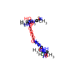 COc1cc(N2CCC(N3CCN(C(=O)CCOCCOCCOCCOCCC(=O)NC(C(=O)N4C[C@H](O)C[C@H]4C(=O)NCc4ccc(-c5scnc5C)cc4)C(C)(C)C)CC3)CC2)ccc1Nc1ncc(Cl)c(Nc2ccccc2P(C)(C)=O)n1